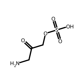 NCC(=O)COS(=O)(=O)O